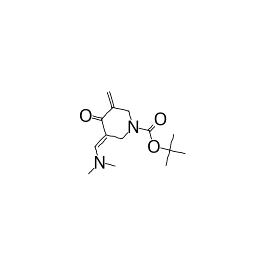 C=C1CN(C(=O)OC(C)(C)C)C/C(=C\N(C)C)C1=O